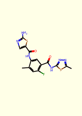 Cc1nnc(NC(=O)c2cc(NC(=O)c3cnc(N)s3)c(C)cc2F)s1